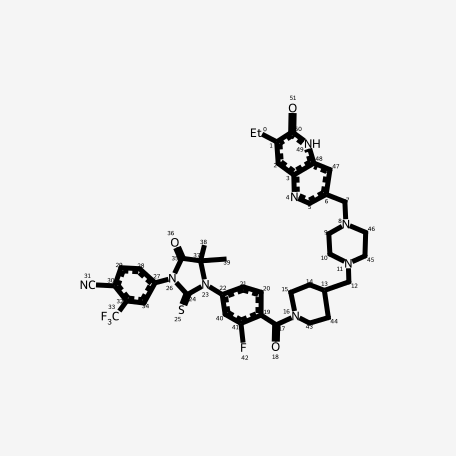 CCc1cc2ncc(CN3CCN(CC4CCN(C(=O)c5ccc(N6C(=S)N(c7ccc(C#N)c(C(F)(F)F)c7)C(=O)C6(C)C)cc5F)CC4)CC3)cc2[nH]c1=O